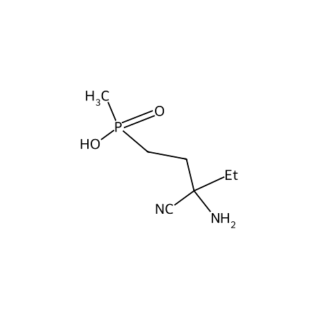 CCC(N)(C#N)CCP(C)(=O)O